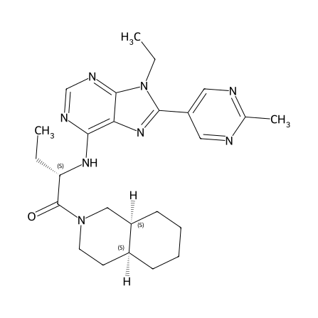 CC[C@H](Nc1ncnc2c1nc(-c1cnc(C)nc1)n2CC)C(=O)N1CC[C@@H]2CCCC[C@@H]2C1